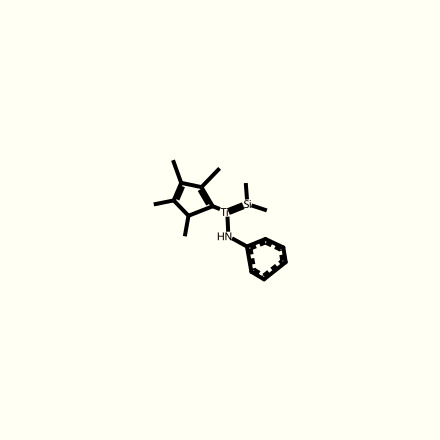 CC1=C(C)C(C)[C]([Ti]([NH]c2ccccc2)=[Si](C)C)=C1C